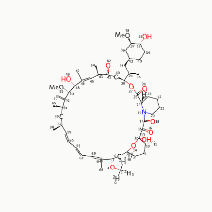 [2H]C([2H])([2H])O[C@H]1C[C@@H]2CC[C@@H](C)[C@@](O)(O2)C(=O)C(=O)N2CCCC[C@H]2C(=O)O[C@H]([C@H](C)C[C@@H]2CC[C@@H](O)[C@H](OC)C2)CC(=O)[C@H](C)/C=C(\C)[C@@H](O)[C@@H](OC)C(=C)[C@H](C)C[C@H](C)/C=C/C=C/C=C/1C